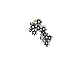 CC1(C)c2ccccc2-c2c(-c3ccc(-c4cccc5c4C(C)(C)c4ccc(-c6cccc(F)c6N(c6ccccc6F)C(C)(C)C)cc4-5)c(F)c3N(c3ccccc3F)C(C)(C)C)cccc21